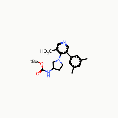 Cc1cc(C)cc(-c2cncc(C(=O)O)c2N2CCC(NC(=O)OC(C)(C)C)C2)c1